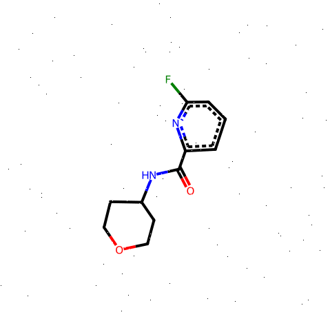 O=C(NC1CCOCC1)c1cccc(F)n1